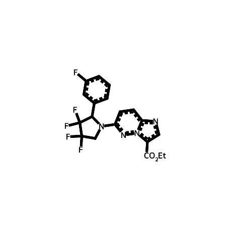 CCOC(=O)c1cnc2ccc(N3CC(F)(F)C(F)(F)C3c3cccc(F)c3)nn12